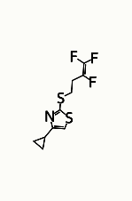 FC(F)=C(F)CCSc1nc(C2CC2)cs1